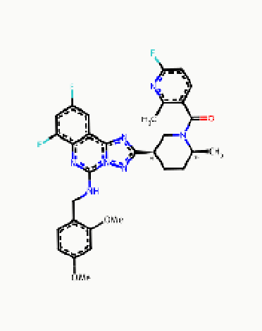 COc1ccc(CNc2nc3c(F)cc(F)cc3c3nc([C@@H]4CC[C@H](C)N(C(=O)c5ccc(F)nc5C)C4)nn23)c(OC)c1